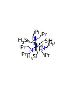 CC(C)CN(CC(C)C)[SiH](C[SiH3])N([SiH](C[SiH3])N(CC(C)C)CC(C)C)[SiH](C[SiH3])N(CC(C)C)CC(C)C